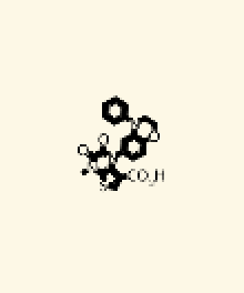 Cn1c(=O)c(=O)n(-c2ccc3c(c2)N(c2ccccc2)CCO3)c2c(C(=O)O)csc21